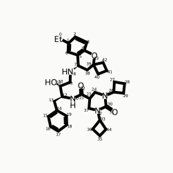 CCc1ccc2c(c1)[C@@H](NC[C@@H](O)[C@H](Cc1ccccc1)NC(=O)C1CN(C3CCC3)C(=O)N(C3CCC3)C1)CC1(CCC1)O2